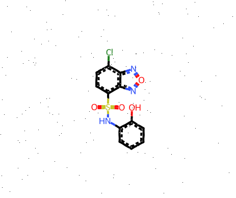 O=S(=O)(Nc1ccccc1O)c1ccc(Cl)c2nonc12